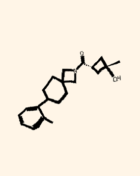 Cc1ccccc1C1CCC2(CC1)CN(C(=O)[C@H]1C[C@@](C)(O)C1)C2